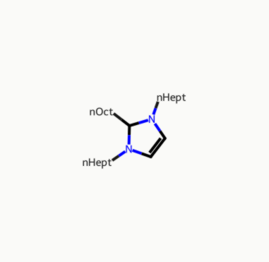 CCCCCCCCC1N(CCCCCCC)C=CN1CCCCCCC